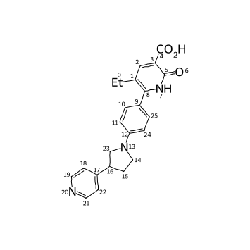 CCc1cc(C(=O)O)c(=O)[nH]c1-c1ccc(N2CCC(c3ccncc3)C2)cc1